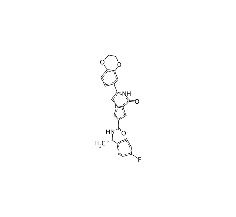 C[C@H](NC(=O)c1cc2c(=O)[nH]c(-c3ccc4c(c3)OCCO4)cn2c1)c1ccc(F)cc1